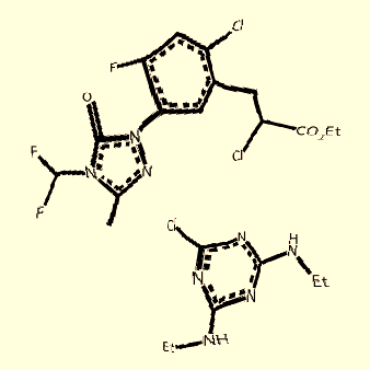 CCNc1nc(Cl)nc(NCC)n1.CCOC(=O)C(Cl)Cc1cc(-n2nc(C)n(C(F)F)c2=O)c(F)cc1Cl